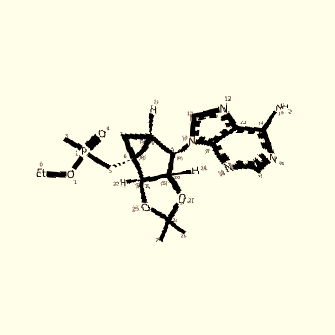 CCOP(C)(=O)C[C@]12C[C@@H]1[C@@H](n1cnc3c(N)ncnc31)[C@@H]1OC(C)(C)O[C@@H]12